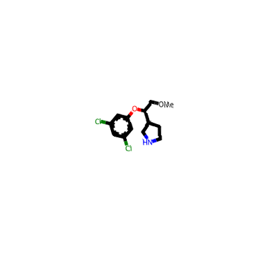 COCC(Oc1cc(Cl)cc(Cl)c1)C1CCNC1